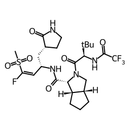 CC(C)(C)[C@@H](NC(=O)C(F)(F)F)C(=O)N1C[C@@H]2CCC[C@@H]2[C@@H]1C(=O)N[C@H](/C=C(/F)S(C)(=O)=O)C[C@H]1CCNC1=O